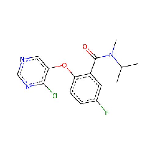 CC(C)N(C)C(=O)c1cc(F)ccc1Oc1cncnc1Cl